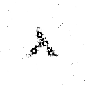 CC(C)c1ncc2sc(N3CCN(S(=O)(=O)c4ccc(OC(F)(F)F)cc4)[C@@H](C(=O)NCc4ccc(OC(F)(F)F)cc4)C3)nc2n1